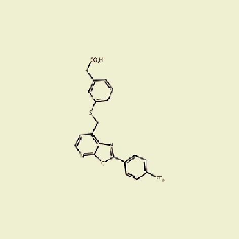 O=C(O)Cc1cccc(SCc2ccnc3oc(-c4ccc(C(F)(F)F)cc4)nc23)c1